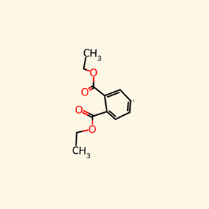 CCOC(=O)c1c[c]ccc1C(=O)OCC